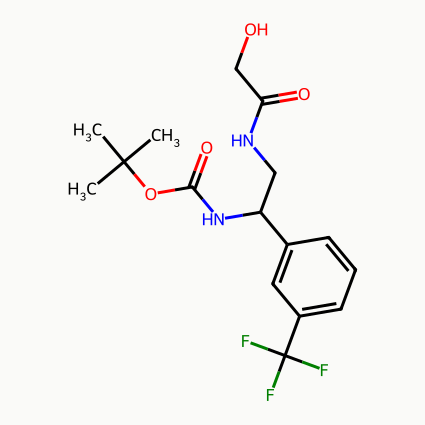 CC(C)(C)OC(=O)NC(CNC(=O)CO)c1cccc(C(F)(F)F)c1